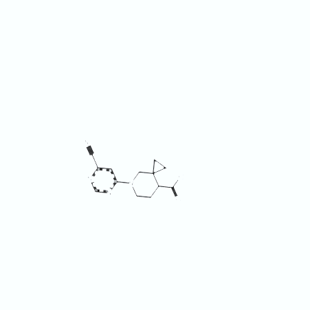 N#Cc1cc(N2CCC(C(=O)Cl)C3(CC3)C2)ncn1